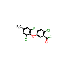 O=C(Cl)c1cc(Oc2c(F)cc(C(F)(F)F)cc2Cl)ccc1Cl